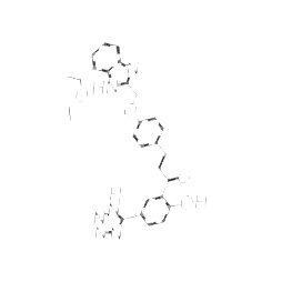 CCOC(C)c1cccc2nc(COc3ccc(C=CC(=O)c4cc(-c5nnn[nH]5)ccc4O)cc3)[nH]c12